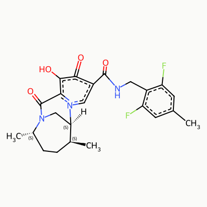 Cc1cc(F)c(CNC(=O)c2cn3c(c(O)c2=O)C(=O)N2C[C@@H]3[C@@H](C)CC[C@@H]2C)c(F)c1